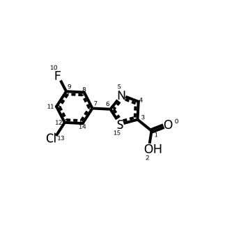 O=C(O)c1cnc(-c2cc(F)cc(Cl)c2)s1